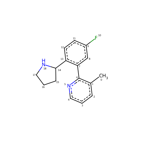 Cc1cccnc1-c1cc(F)ccc1C1CCCN1